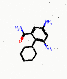 NC(=O)c1cc(N)cc(N)c1C1CCCCC1